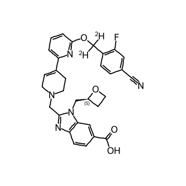 [2H]C([2H])(Oc1cccc(C2=CCN(Cc3nc4ccc(C(=O)O)cc4n3C[C@@H]3CCO3)CC2)n1)c1ccc(C#N)cc1F